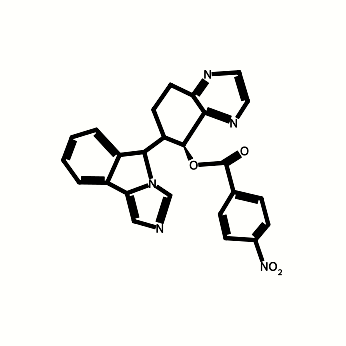 O=C(O[C@@H]1c2nccnc2CCC1C1c2ccccc2-c2cncn21)c1ccc([N+](=O)[O-])cc1